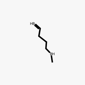 B=CCCCBC